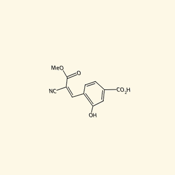 COC(=O)C(C#N)=Cc1ccc(C(=O)O)cc1O